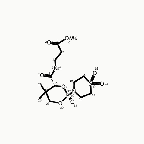 COC(=O)CCNC(=O)[C@@H]1OP(=O)(N2CCS(=O)(=O)CC2)OCC1(C)C